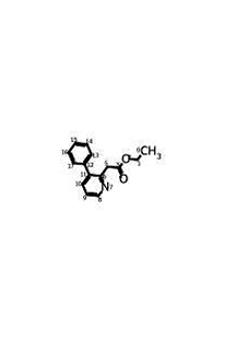 CCOC(=O)Cc1ncccc1-c1ccccc1